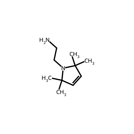 CC1(C)C=CC(C)(C)N1CCN